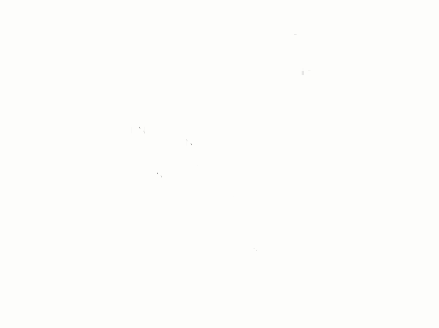 CC(C)[Si](OCCCn1c(N)nc2cc(C3CCCCC3=O)ccc21)(C(C)C)C(C)C